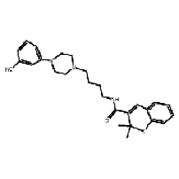 CC1(C)Sc2ccccc2C=C1C(=O)NCCCCN1CCN(c2cccc(C#N)c2)CC1